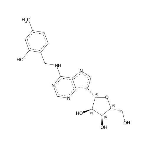 Cc1ccc(CNc2ncnc3c2ncn3[C@@H]2O[C@H](CO)[C@@H](O)[C@H]2O)c(O)c1